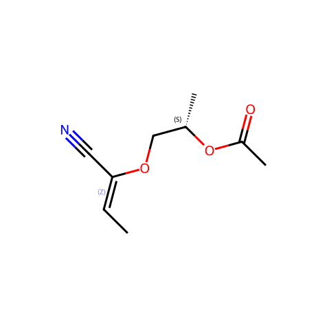 C/C=C(/C#N)OC[C@H](C)OC(C)=O